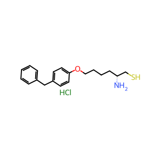 Cl.N[C@@H](CS)CCCCOc1ccc(Cc2ccccc2)cc1